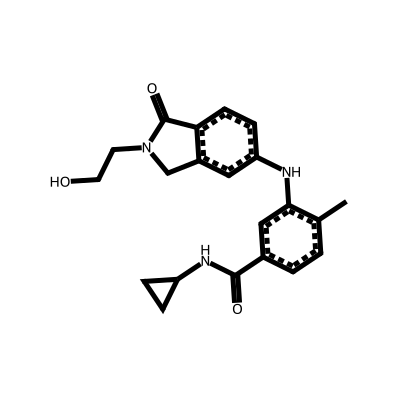 Cc1ccc(C(=O)NC2CC2)cc1Nc1ccc2c(c1)CN(CCO)C2=O